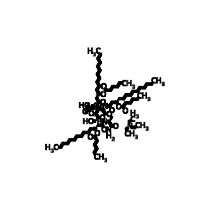 CCCCCCCCCCC[C@H](CC(=O)N[C@H]1[C@@H](OC[C@H](NC(=O)C[C@@H](CCCCCCCCCCC)OC(=O)CCCCC)C(N)=O)O[C@H](CO)[C@@H](OP(=O)(O)O)[C@@H]1OC(=O)C[C@@H](CCCCCCCCCCC)OC(=O)CCCCC)OC(=O)CCCCC.CCN(CC)CC